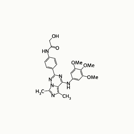 COc1cc(Nc2nc(-c3ccc(NC(=O)CO)cc3)nn3c(C)nc(C)c23)cc(OC)c1OC